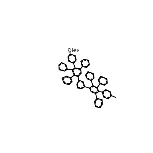 COc1ccc(-c2c(-c3ccccc3)cc(-c3cccc(-c4cc(-c5ccccc5)c(-c5ccc(C)cc5)c(-c5ccccc5)c4-c4ccccc4)c3)c(-c3ccccc3)c2-c2ccccc2)cc1